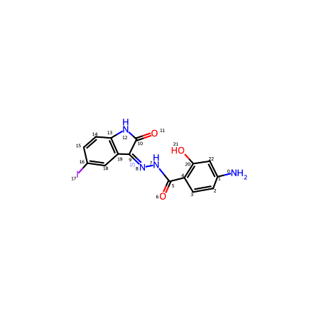 Nc1ccc(C(=O)N/N=C2\C(=O)Nc3ccc(I)cc32)c(O)c1